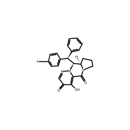 O=C1c2c(O)c(=O)cnn2[C@@H]([C@H](c2ccccc2)c2ccc(F)cc2)[C@H]2CCCN12